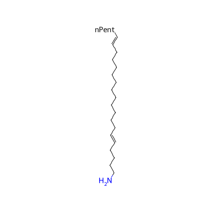 CCCCCC=CCCCCCCCCCCCC=CCCCCN